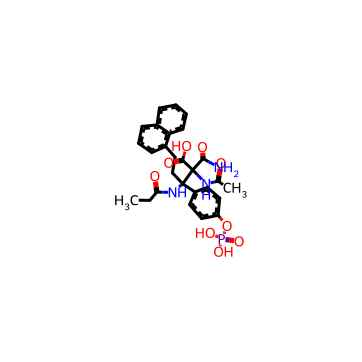 CCC(=O)NC(CCc1cccc2ccccc12)(c1ccc(OP(=O)(O)O)cc1)C(NC(C)=O)(C(N)=O)C(=O)O